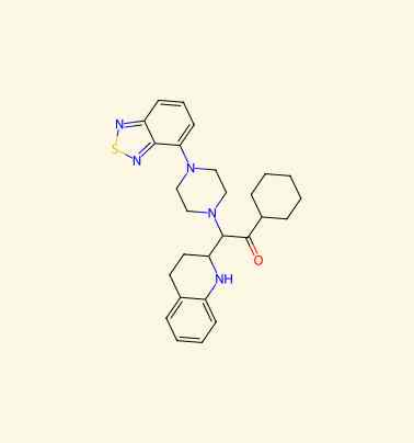 O=C(C1CCCCC1)C(C1CCc2ccccc2N1)N1CCN(c2cccc3nsnc23)CC1